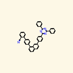 N#Cc1ccccc1-c1ccc(-c2cccc3ccc(-c4ccc(-c5nc(-c6ccccc6)nc(-c6ccccc6)n5)cc4)cc23)cc1